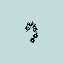 CN1CCN(C(=O)C(OC(=O)N2CCN(Cc3ccc(-c4ccccc4)cc3)CC2)C(F)(F)F)CC1